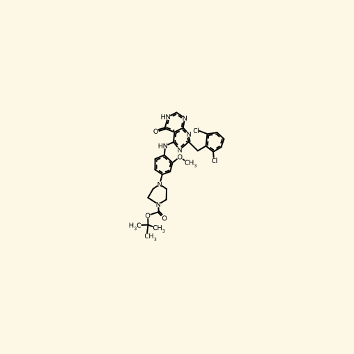 COc1cc(N2CCN(C(=O)OC(C)(C)C)CC2)ccc1Nc1nc(Cc2c(Cl)cccc2Cl)nc2nc[nH]c(=O)c12